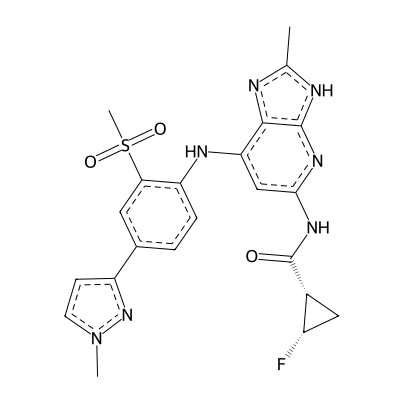 Cc1nc2c(Nc3ccc(-c4ccn(C)n4)cc3S(C)(=O)=O)cc(NC(=O)[C@@H]3C[C@@H]3F)nc2[nH]1